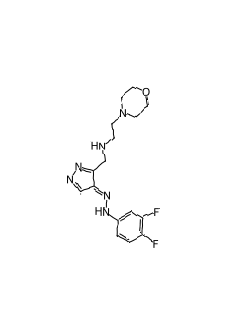 Fc1ccc(NN=C2[C]=NN=C2CNCCN2CCOCC2)cc1F